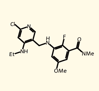 CCNc1cc(Cl)ncc1CNc1cc(OC)cc(C(=O)NC)c1F